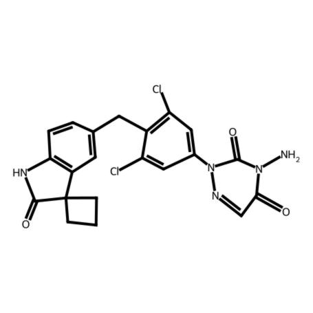 Nn1c(=O)cnn(-c2cc(Cl)c(Cc3ccc4c(c3)C3(CCC3)C(=O)N4)c(Cl)c2)c1=O